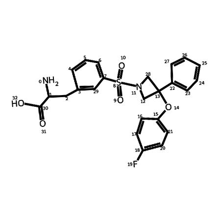 NC(Cc1cccc(S(=O)(=O)N2CC(Oc3ccc(F)cc3)(c3ccccc3)C2)c1)C(=O)O